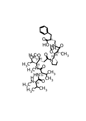 CN[C@H](C(=O)N[C@H](C(=O)N(C)[C@@H](C(C)C)[C@@H](CC(=O)N1CCC[C@H]1[C@H](OC)[C@@H](C)C(=O)NC[C@@H](Cc1ccccc1)C(=O)O)OC)C(C)C)C(C)C